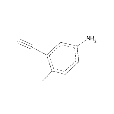 [C]#Cc1cc(N)ccc1C